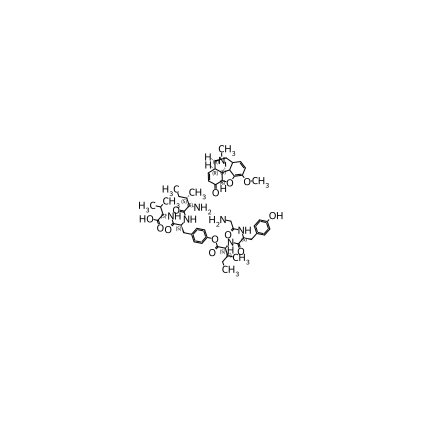 CC[C@H](C)[C@H](N)C(=O)N[C@@H](Cc1ccc(OC(=O)[C@@H](NC(=O)[C@H](Cc2ccc(O)cc2)NC(=O)CN)[C@@H](C)CC)cc1)C(=O)N[C@H](C(=O)O)C(C)C.COC1=C2O[C@H]3C(=O)C=C[C@H]4[C@H]5CC(C=C1)C2[C@@]34CCN5C